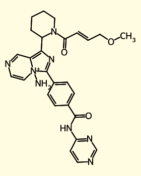 COC/C=C/C(=O)N1CCCCC1C1=C2C=NC=C[N+]2(N)C(c2ccc(C(=O)Nc3ccncn3)cc2)=N1